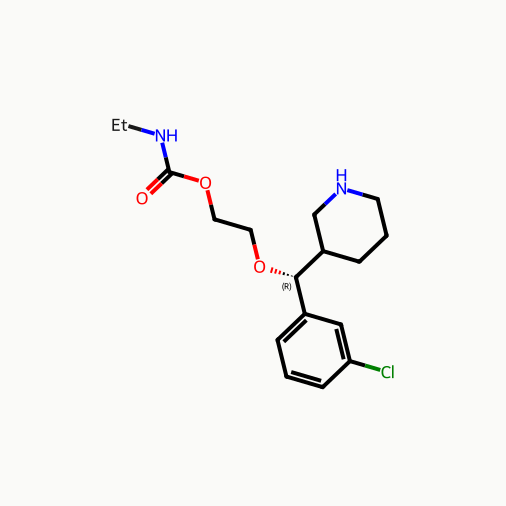 CCNC(=O)OCCO[C@@H](c1cccc(Cl)c1)C1CCCNC1